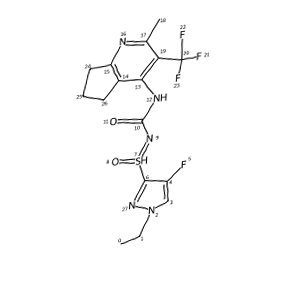 CCn1cc(F)c(/[SH](=O)=N/C(=O)Nc2c3c(nc(C)c2C(F)(F)F)CCC3)n1